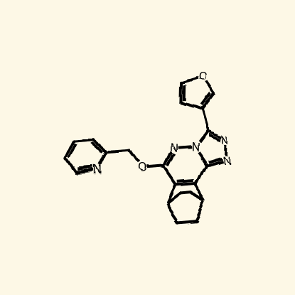 c1ccc(COc2nn3c(-c4ccoc4)nnc3c3c2C2CCC3CC2)nc1